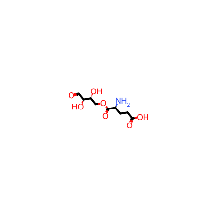 N[C@@H](CCC(=O)O)C(=O)OC[C@@H](O)[C@@H](O)C=O